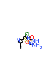 CC#Cc1cncc(-c2cc(Cl)c(N3COCC3[S+]([O-])N(C)C(=N)N)s2)c1